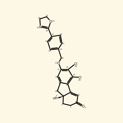 CCC[C@]12CCC(=O)C=C1c1c(cc(OCc3ccc(C4=NCCO4)cc3)c(Cl)c1Cl)C2